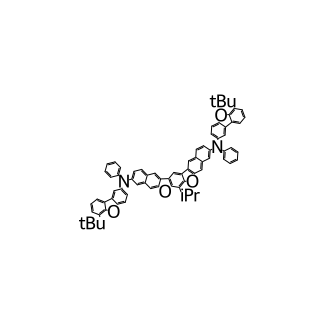 CC(C)c1c2oc3cc4cc(N(c5ccccc5)c5ccc6oc7c(C(C)(C)C)cccc7c6c5)ccc4cc3c2cc2c1oc1cc3cc(N(c4ccccc4)c4ccc5oc6c(C(C)(C)C)cccc6c5c4)ccc3cc12